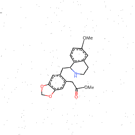 COC(=O)Cc1cc2c(cc1CC1NCCc3cc(OC)ccc31)OCO2